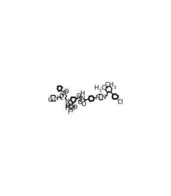 CC1(C)CCC(c2ccc(Cl)cc2)=C(CN2CCN(c3ccc(C(=O)NS(=O)(=O)c4ccc(N[C@H](CCN5CCOCC5)CS(=O)(=O)c5ccccc5)c(S(=O)(=O)C(F)(F)F)c4)cc3)CC2)C1